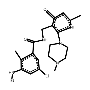 CCNc1cc(Cl)cc(C(=O)NCc2c(N3CCN(C)CC3)[nH]c(C)cc2=O)c1C